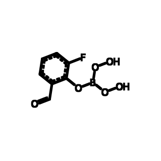 O=Cc1cccc(F)c1OB(OO)OO